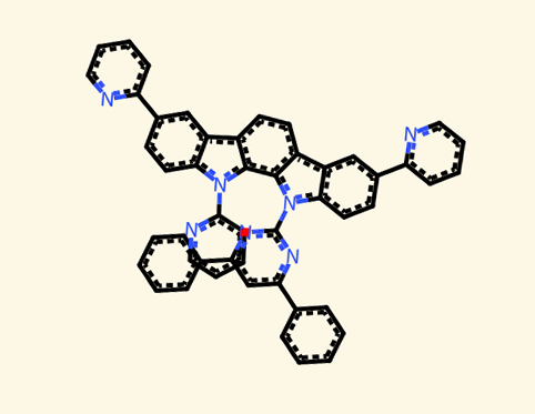 c1ccc(-c2cc(-c3ccccc3)nc(-n3c4ccc(-c5ccccn5)cc4c4ccc5c6cc(-c7ccccn7)ccc6n(-c6ccccn6)c5c43)n2)cc1